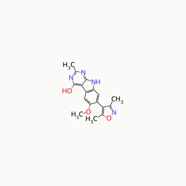 COc1cc2c(cc1-c1c(C)noc1C)[nH]c1nc(C)nc(O)c12